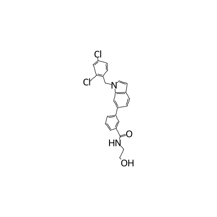 O=C(NCCO)c1cccc(-c2ccc3ccn(Cc4ccc(Cl)cc4Cl)c3c2)c1